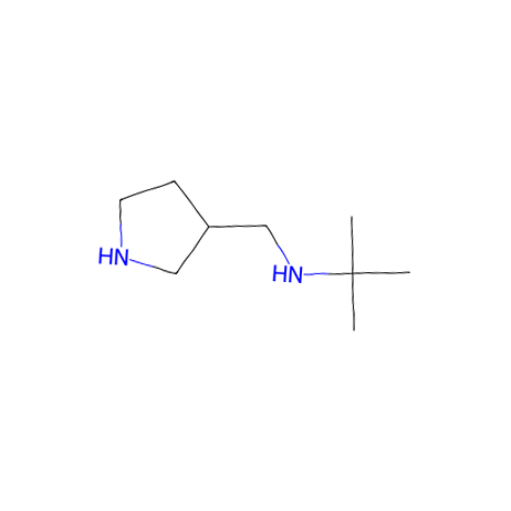 CC(C)(C)NCC1CCNC1